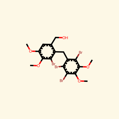 COc1cc(CO)c(Cc2c(Br)c(Br)c(OC)c(OC)c2Br)c(Br)c1OC